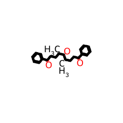 CC(CCC(=O)c1ccccc1)C(=O)C(C)CCC(=O)c1ccccc1